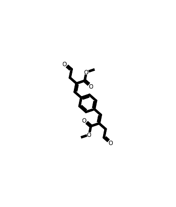 COC(=O)C(=Cc1ccc(C=C(CC=O)C(=O)OC)cc1)CC=O